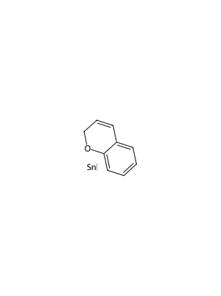 C1=Cc2ccccc2OC1.[Sn]